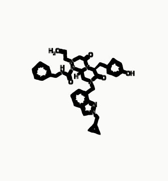 C=CCN1CC(=O)N2[C@@H](Cc3ccc(O)cc3)C(=O)N(Cc3cccc4cn(CC5CC5)nc34)C[C@@H]2N1C(=O)NCc1ccccc1